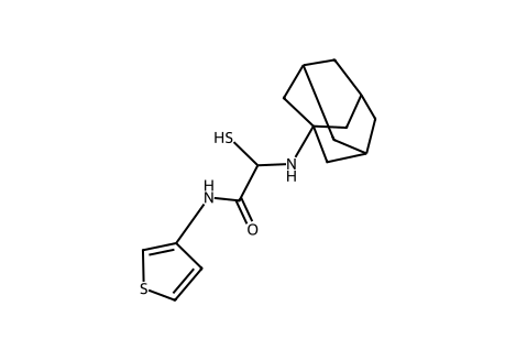 O=C(Nc1ccsc1)C(S)NC12CC3CC(CC(C3)C1)C2